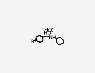 [B+2]c1ccc(CNCC2CCCCC2)cc1.[OH-].[OH-]